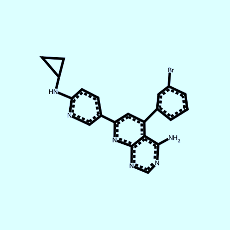 Nc1ncnc2nc(-c3ccc(NC4CC4)nc3)cc(-c3cccc(Br)c3)c12